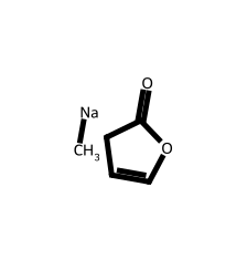 O=C1CC=CO1.[CH3][Na]